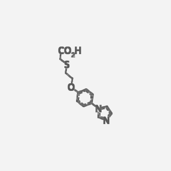 O=C(O)CSCCOc1ccc(-n2ccnc2)cc1